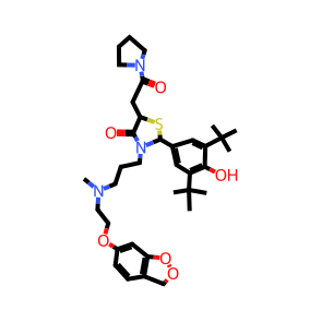 CN(CCCN1C(=O)C(CC(=O)N2CCCC2)SC1c1cc(C(C)(C)C)c(O)c(C(C)(C)C)c1)CCOc1ccc2c(c1)OOC2